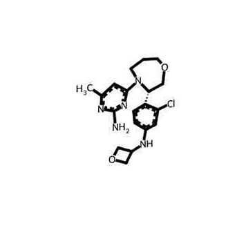 Cc1cc(N2CCCOC[C@@H]2c2ccc(NC3COC3)cc2Cl)nc(N)n1